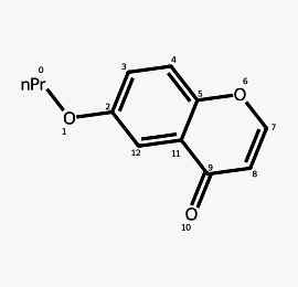 CCCOc1ccc2occc(=O)c2c1